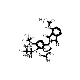 [2H]C([2H])S(=O)(=O)C[C@H](c1ccc(OC([2H])([2H])[2H])c(OC([2H])([2H])C([2H])([2H])[2H])c1)N1C(=O)c2cccc(NC(C)=O)c2C1=O